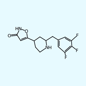 O=c1cc(C2CCNC(Cc3cc(F)c(F)c(F)c3)C2)o[nH]1